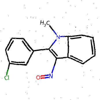 Cn1c(-c2cccc(Cl)c2)c(N=O)c2ccccc21